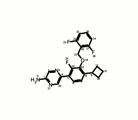 Nc1cnc(-c2ccc(C3CCC3)c(OCc3c(F)cccc3F)c2F)cn1